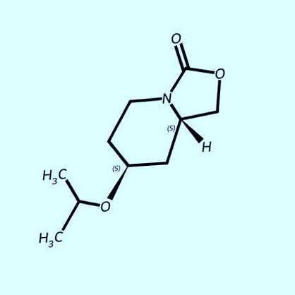 CC(C)O[C@H]1CCN2C(=O)OC[C@@H]2C1